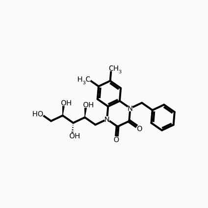 Cc1cc2c(cc1C)n(C[C@H](O)[C@H](O)[C@H](O)CO)c(=O)c(=O)n2Cc1ccccc1